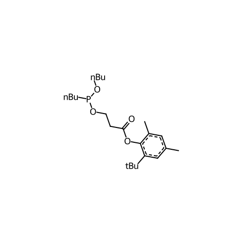 CCCCOP(CCCC)OCCC(=O)Oc1c(C)cc(C)cc1C(C)(C)C